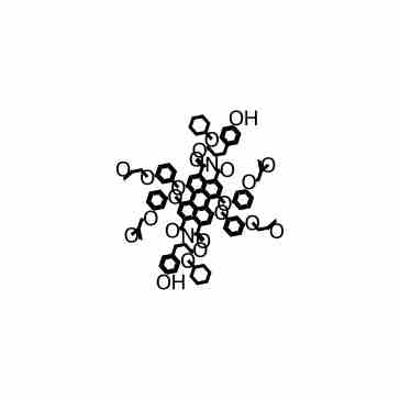 O=C(OC1CCCCC1)C(Cc1ccc(O)cc1)N1C(=O)c2cc(Oc3cccc(OCC4CO4)c3)c3c4c(Oc5cccc(OCC6CO6)c5)cc5c6c(cc(Oc7cccc(OCC8CO8)c7)c(c7c(Oc8cccc(OCC9CO9)c8)cc(c2c37)C1=O)c64)C(=O)N(C(Cc1ccc(O)cc1)C(=O)OC1CCCCC1)C5=O